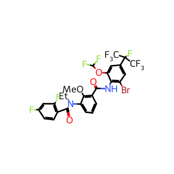 CCN(C(=O)c1ccc(F)cc1F)c1cccc(C(=O)Nc2c(Br)cc(C(F)(C(F)(F)F)C(F)(F)F)cc2OC(F)F)c1OC